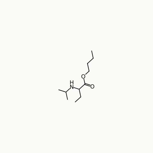 CCCCOC(=O)C(CC)NC(C)C